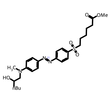 CCCCC(O)CN(C)c1ccc(/N=N/c2ccc(S(=O)(=O)CCCCCC(=O)OC)cc2)cc1